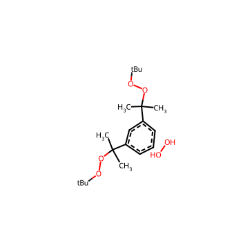 CC(C)(C)OOC(C)(C)c1cccc(C(C)(C)OOC(C)(C)C)c1.OO